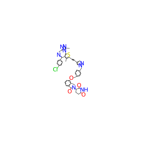 Cc1c(C#Cc2cnn(Cc3ccc(COc4cccc5c4CN(C4CCC(=O)NC4=O)C5=O)cc3)c2)sc2c1C(c1ccc(Cl)cc1)=NCc1nnc(C)n1-2